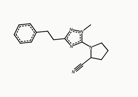 Cn1nc(CCc2ccccc2)nc1N1CCCC1C#N